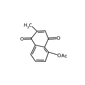 CC(=O)Oc1cccc2c1C(=O)C=C(C)C2=O